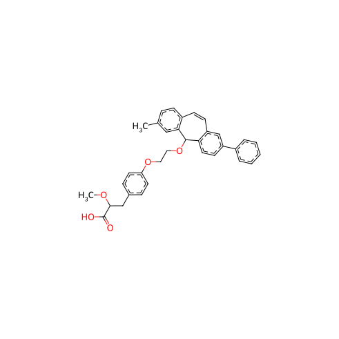 COC(Cc1ccc(OCCOC2c3ccc(-c4ccccc4)cc3C=Cc3ccc(C)cc32)cc1)C(=O)O